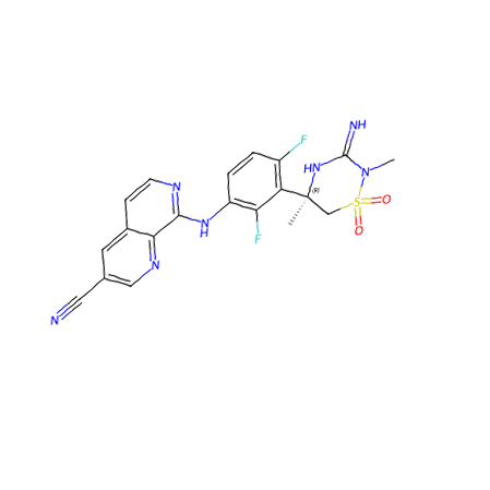 CN1C(=N)N[C@](C)(c2c(F)ccc(Nc3nccc4cc(C#N)cnc34)c2F)CS1(=O)=O